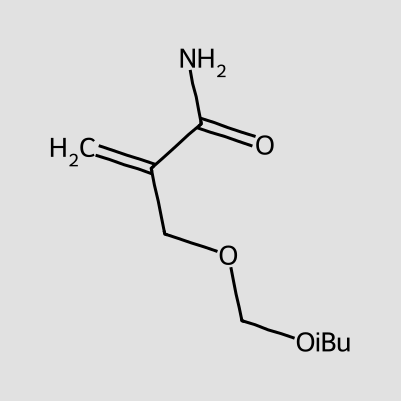 C=C(COCOCC(C)C)C(N)=O